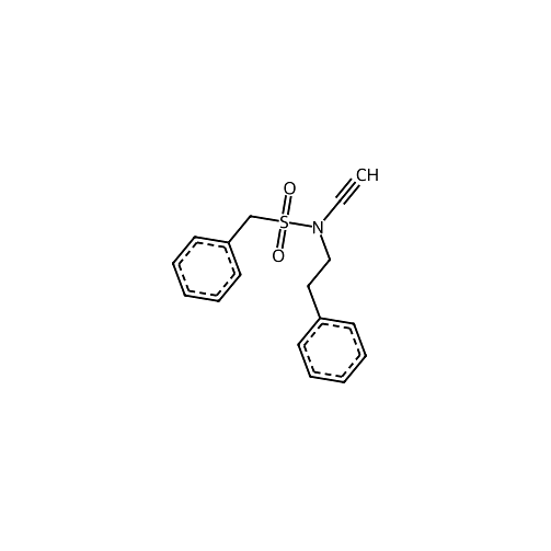 C#CN(CCc1ccccc1)S(=O)(=O)Cc1ccccc1